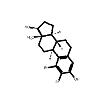 CCc1c(O)cc2c(c1CC)[C@H]1CC[C@]3(C)[C@@H](O)CC[C@H]3[C@@H]1CC2